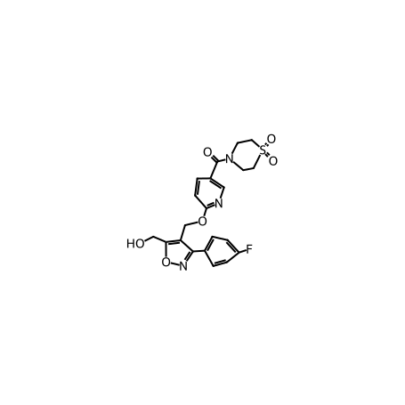 O=C(c1ccc(OCc2c(-c3ccc(F)cc3)noc2CO)nc1)N1CCS(=O)(=O)CC1